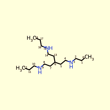 CCCNCCC(CCNCCC)CCNCCC